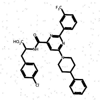 O=C(NC(Cc1ccc(Cl)cc1)C(=O)O)c1cc(N2CCC(c3ccccc3)CC2)nc(-c2cccc(C(F)(F)F)c2)n1